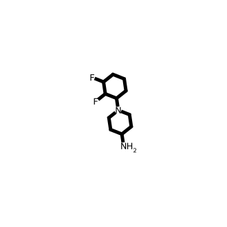 NC1CCN(C2CCCC(F)C2F)CC1